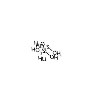 O.O=S(=O)(O)O.O=S(=O)(O)O.[LiH]